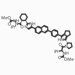 COC(=O)NC(C(=O)N1CCC[C@H]1c1[nH]c(-c2ccc(-c3ccc4cc(-c5cnc([C@@H]6CCCC[C@@H]6C(=O)N(NC(=O)OC)C(C)C)[nH]5)ccc4c3)cc2)c2c1CCC2)C(C)C